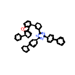 C1=C(c2nc(-c3ccc(-c4ccccc4)cc3)nc(-c3ccc(-c4ccccc4)cc3)n2)C=C(c2cccc3oc4c(-c5ccccc5)cccc4c23)CC1